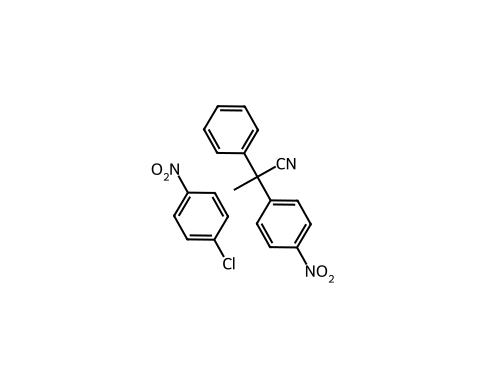 CC(C#N)(c1ccccc1)c1ccc([N+](=O)[O-])cc1.O=[N+]([O-])c1ccc(Cl)cc1